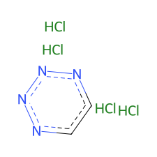 Cl.Cl.Cl.Cl.c1cnnnn1